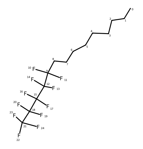 CCCCCCCCCC(F)(F)C(F)(F)C(F)(F)C(F)(F)C(F)(F)F